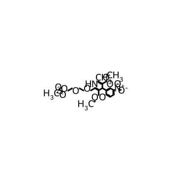 CCOC(=O)C1=C(COCCOCCOS(C)(=O)=O)NC(C)=C(C(=O)OC)C1c1cccc([N+](=O)[O-])c1